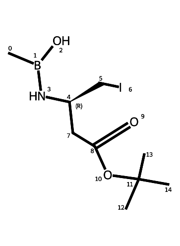 CB(O)N[C@@H](CI)CC(=O)OC(C)(C)C